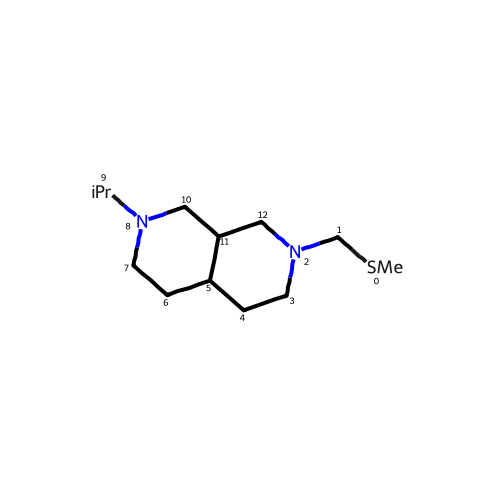 CSCN1CCC2CCN(C(C)C)CC2C1